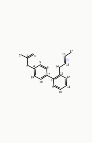 C=C(C)Cc1ccc(-c2ccc[c]c2C/C=C/C)cc1